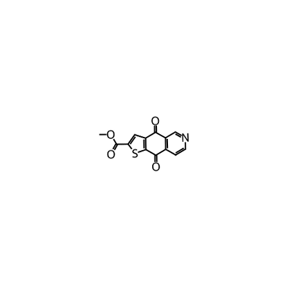 COC(=O)c1cc2c(s1)C(=O)c1ccncc1C2=O